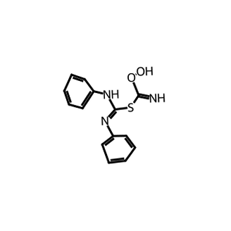 N=C(OO)SC(=Nc1ccccc1)Nc1ccccc1